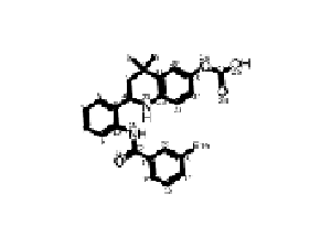 CC1(C)CC(c2ccccc2NC(=O)c2cccc(F)c2)Nc2ccc(OC(=O)O)cc21